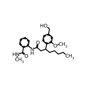 CCCCCC(CC(=O)Nc1ccccc1C(=O)NC)c1ccc(CO)cc1OC